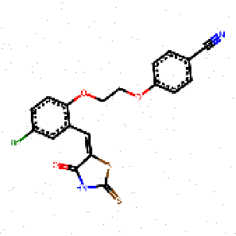 N#Cc1ccc(OCCOc2ccc(Br)cc2C=C2SC(=S)NC2=O)cc1